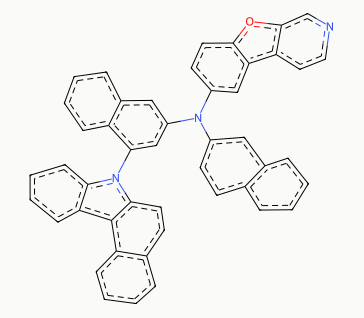 c1ccc2cc(N(c3cc(-n4c5ccccc5c5c6ccccc6ccc54)c4ccccc4c3)c3ccc4oc5cnccc5c4c3)ccc2c1